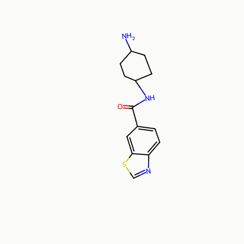 NC1CCC(NC(=O)c2ccc3ncsc3c2)CC1